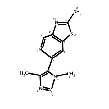 Cc1nnn(C)c1-c1cc2sc(N)nc2cn1